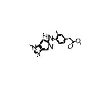 COC(=O)Cc1ccc(Nc2cc3c(cn2)ncn3C)c(C)c1